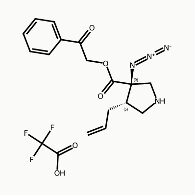 C=CC[C@H]1CNC[C@@]1(N=[N+]=[N-])C(=O)OCC(=O)c1ccccc1.O=C(O)C(F)(F)F